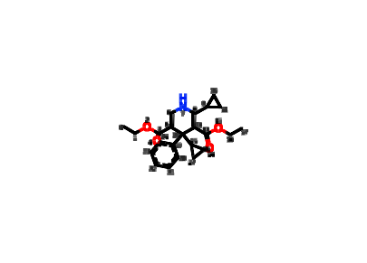 CCOC(=O)C1=CNC(C2CC2)=C(C(=O)OCC)C1(c1ccccc1)C1CC1